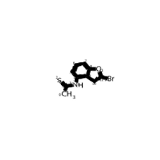 CC(=S)Nc1cccc2c1CC(Br)O2